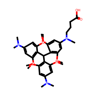 COc1cc(N(C)C)cc(OC)c1C(c1c(OC)cc(N(C)C)cc1OC)c1c(OC)cc(N(C)CCCC(=O)O)cc1OC